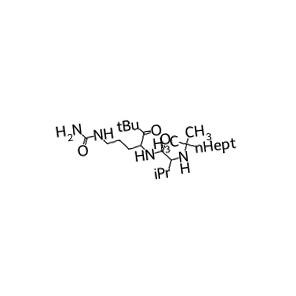 CCCCCCCC(C)(C)NC(C(=O)NC(CCCNC(N)=O)C(=O)C(C)(C)C)C(C)C